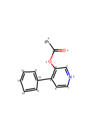 CC(C)C(=O)Oc1cnccc1-c1ccccc1